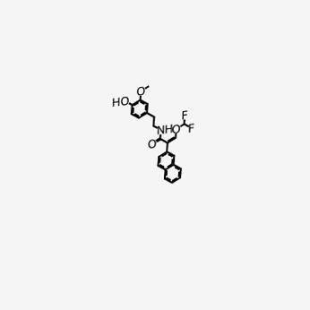 COc1cc(CCNC(=O)C(=COC(F)F)c2ccc3ccccc3c2)ccc1O